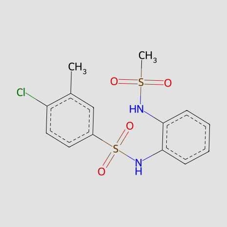 Cc1cc(S(=O)(=O)Nc2ccccc2NS(C)(=O)=O)ccc1Cl